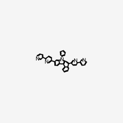 c1ccc(-n2c3cc(-c4ccc(-c5cccnc5)nc4)ccc3c3c4ccccc4c(-c4ccc(-c5cccnc5)nc4)cc32)cc1